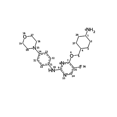 NC1CCC(COc2nc(Nc3ccc(N4CCOCC4)cc3)ncc2F)CC1